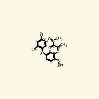 CCCSc1ccc(Oc2ccc(Cl)cc2Cl)cc1OC(C)C(=O)N(C)C